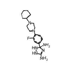 NC1=NC(N)(c2ccc(N3CCN(C4CCCCC4)CC3)c(F)c2)NN1